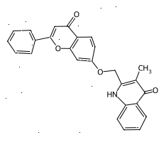 Cc1c(COc2ccc3c(=O)cc(-c4ccccc4)oc3c2)[nH]c2ccccc2c1=O